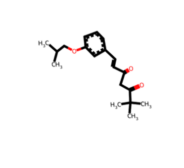 CC(C)COc1cccc(C=CC(=O)CC(=O)C(C)(C)C)c1